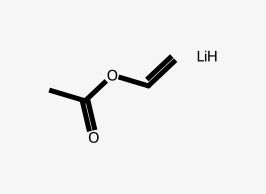 C=COC(C)=O.[LiH]